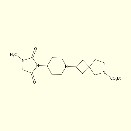 CCOC(=O)N1CCC2(CC(N3CCC(N4C(=O)CN(C)C4=O)CC3)C2)C1